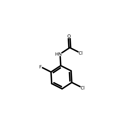 O=C(Cl)Nc1cc(Cl)ccc1F